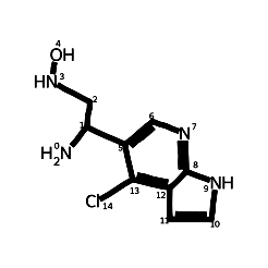 NC(CNO)c1cnc2[nH]ccc2c1Cl